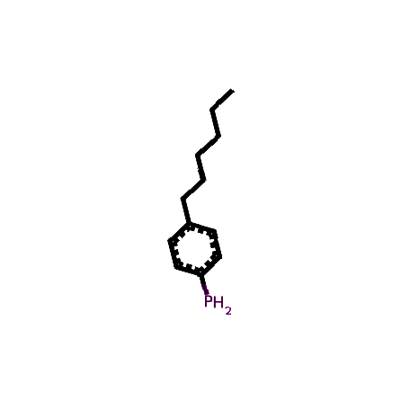 CCCCCCc1ccc(P)cc1